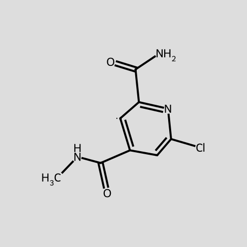 CNC(=O)c1[c]c(C(N)=O)nc(Cl)c1